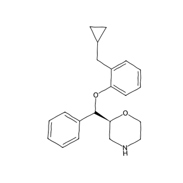 c1ccc(C(Oc2ccccc2CC2CC2)[C@@H]2CNCCO2)cc1